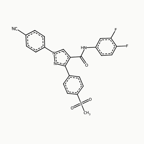 CS(=O)(=O)c1ccc(-c2nn(-c3ccc(C#N)cc3)cc2C(=O)Nc2ccc(F)c(F)c2)cc1